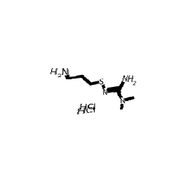 CN(C)C(N)=NSCCCN.Cl.Cl